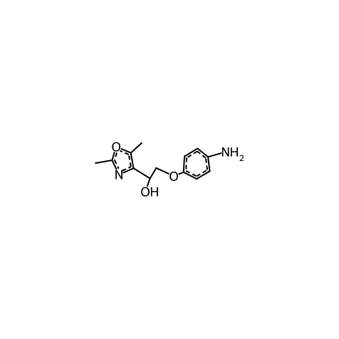 Cc1nc(C(O)COc2ccc(N)cc2)c(C)o1